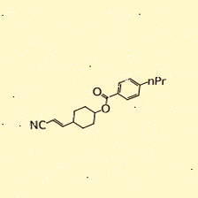 CCCc1ccc(C(=O)OC2CCC(C=CC#N)CC2)cc1